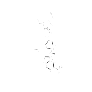 CCCCc1oc2ccc([N+](=O)[O-])cc2c1C(=O)c1ccc(OCN(CCCC)CCCC)cc1